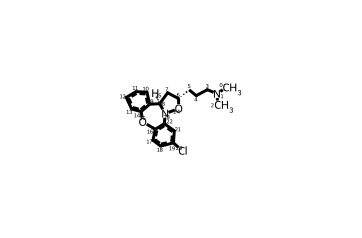 CN(C)CCC[C@H]1C[C@@H]2c3ccccc3Oc3ccc(Cl)cc3N2O1